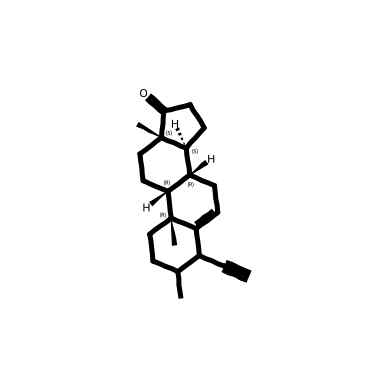 C#CC1C2=CC[C@@H]3[C@@H](CC[C@]4(C)C(=O)CC[C@@H]34)[C@@]2(C)CCC1C